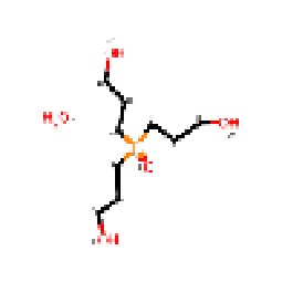 O.O=P(CCCO)(CCCO)CCCO